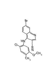 COc1cc(Nc2c(C#N)cnc3cc(Br)ccc23)c(Cl)cc1C